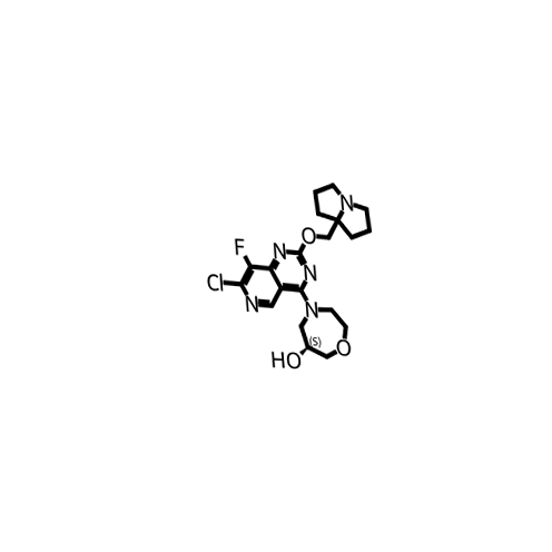 O[C@@H]1COCCN(c2nc(OCC34CCCN3CCC4)nc3c(F)c(Cl)ncc23)C1